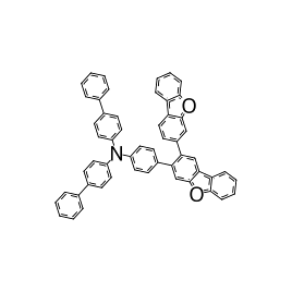 c1ccc(-c2ccc(N(c3ccc(-c4ccccc4)cc3)c3ccc(-c4cc5oc6ccccc6c5cc4-c4ccc5c(c4)oc4ccccc45)cc3)cc2)cc1